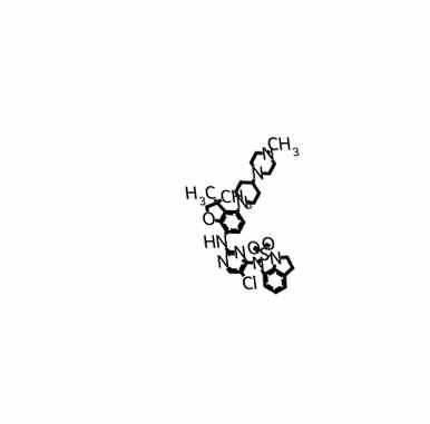 CN1CCN(C2CCN(c3ccc(Nc4ncc(Cl)c(N5c6cccc7c6N(CC7)S5(=O)=O)n4)c4c3C(C)(C)CO4)CC2)CC1